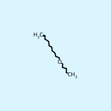 C=CCCCCCCCCOCCCCC